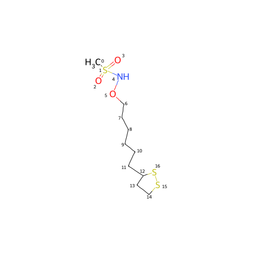 CS(=O)(=O)NOCCCCCCC1CCSS1